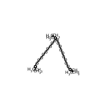 CC(C)(C)c1ccc(COCCOCCOCCOCCOCCOCCOCCOCCOc2ccc(C(C)(C)C)cc2OCCOCCOCCOCCOCCOCCOCCOCCOCc2ccc(C(C)(C)C)cc2)cc1